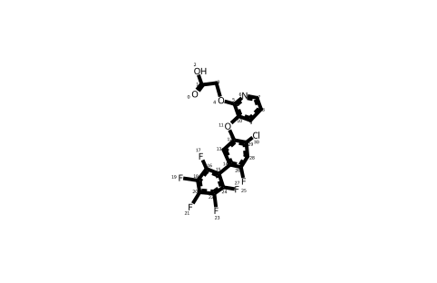 O=C(O)COc1ncccc1Oc1cc(-c2c(F)c(F)c(F)c(F)c2F)c(F)cc1Cl